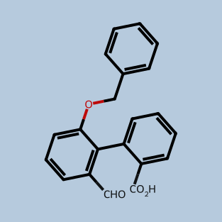 O=Cc1cccc(OCc2ccccc2)c1-c1ccccc1C(=O)O